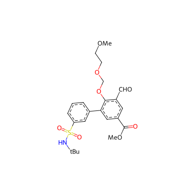 COCCOCOc1c(C=O)cc(C(=O)OC)cc1-c1cccc(S(=O)(=O)NC(C)(C)C)c1